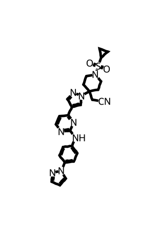 N#CCC1(n2cc(-c3ccnc(Nc4ccc(-n5cccn5)cc4)n3)cn2)CCN(S(=O)(=O)C2CC2)CC1